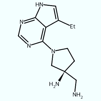 CCc1c[nH]c2ncnc(N3CC[C@](N)(CN)C3)c12